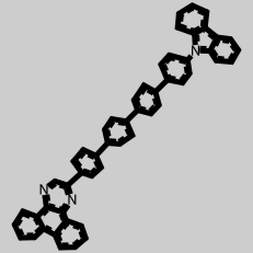 c1ccc2c(c1)c1ccccc1c1nc(-c3ccc(-c4ccc(-c5ccc(-c6ccc(-n7c8ccccc8c8ccccc87)cc6)cc5)cc4)cc3)cnc21